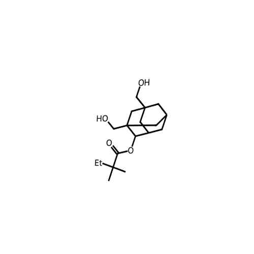 CCC(C)(C)C(=O)OC1C2CC3CC(CO)(C2)CC1(CO)C3